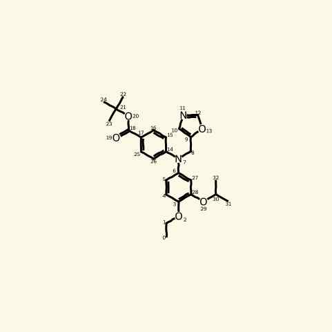 CCOc1ccc(N(Cc2cnco2)c2ccc(C(=O)OC(C)(C)C)cc2)cc1OC(C)C